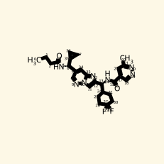 CCCC(=O)N[C@@H](c1cnn2cc([C@@H](NC(=O)c3cnnc(C)c3)C3CCC(F)(F)CC3)nc2c1)C1CC1